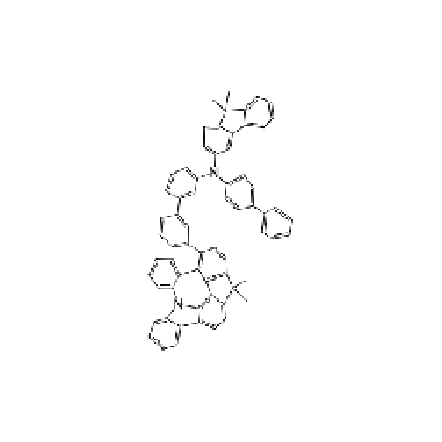 CC1(C)c2ccccc2-c2cc(N(c3ccc(-c4ccccc4)cc3)c3cccc(-c4cccc(-c5ccc6c7c5-c5ccccc5-n5c8ccccc8c8ccc(c-7c85)C6(C)C)c4)c3)ccc21